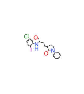 O=C[C@@H](C/C=C1\CCN(c2ccccc2)C1=O)Nc1cc(Cl)ccc1I